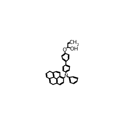 C=CC(O)Oc1ccc(-c2ccc(N(c3ccccc3)c3ccc4c5c6c(ccc35)CC=CC6=CC4)cc2)cc1